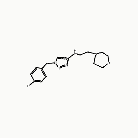 Fc1ccc(Cn2cc(NCCN3CCOCC3)nn2)cc1